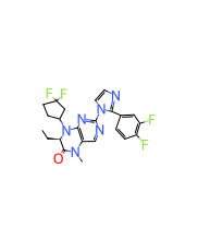 CC[C@@H]1C(=O)N(C)c2cnc(-n3ccnc3-c3ccc(F)c(F)c3)nc2N1C1CCC(F)(F)C1